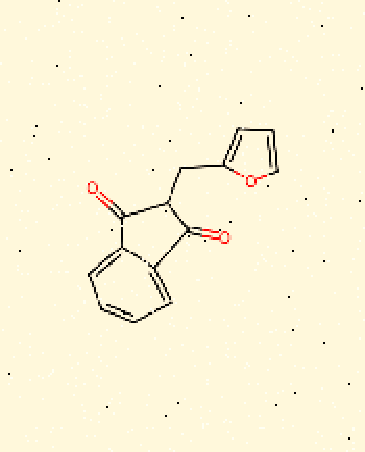 O=C1c2ccccc2C(=O)C1Cc1ccco1